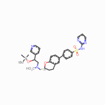 CC(C)(C)[Si](C)(C)OC(CN(C[C@H]1CCc2cc(-c3ccc(S(=O)(=O)Nc4ncccn4)cc3)ccc2O1)C(=O)O)c1cccnc1